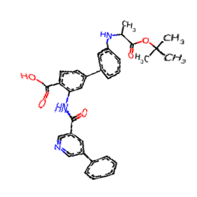 CC(Nc1cccc(-c2ccc(C(=O)O)c(NC(=O)c3cncc(-c4ccccc4)c3)c2)c1)C(=O)OC(C)(C)C